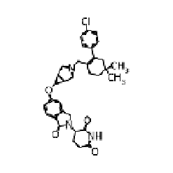 CC1(C)CCC(CN2CC3C(C2)C3Oc2ccc3c(c2)CN(C2CCC(=O)NC2=O)C3=O)=C(c2ccc(Cl)cc2)C1